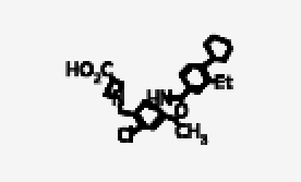 CCc1cc(C(=N)OC(C)c2ccc(CN3CC(C(=O)O)C3)c(Cl)c2)ccc1C1CCCCC1